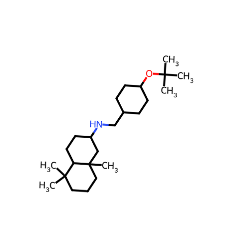 CC(C)(C)OC1CCC(CNC2CCC3C(C)(C)CCCC3(C)C2)CC1